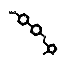 COc1ccc(-c2ccc(OCc3ccoc3C)cc2)cc1